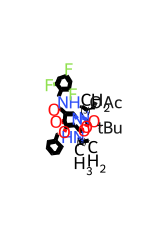 C=C[C@H](C)NC(=O)c1c(OCc2ccccc2)c(=O)c(C(=O)NCc2c(F)cc(F)cc2F)cn1N(C(=O)OC(C)(C)C)[C@@H](C=C)COC(C)=O